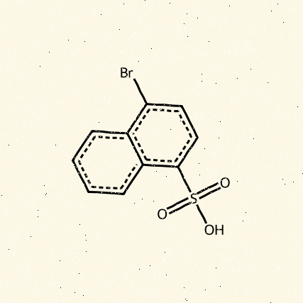 O=S(=O)(O)c1ccc(Br)c2ccccc12